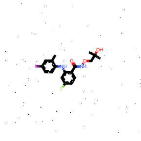 Cc1cc(I)ccc1Nc1cc(F)ccc1C(=O)NOCC(C)(C)O